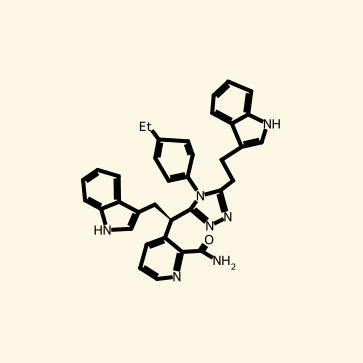 CCc1ccc(-n2c(CCc3c[nH]c4ccccc34)nnc2[C@H](Cc2c[nH]c3ccccc23)c2cccnc2C(N)=O)cc1